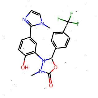 CN1C(=O)OC(c2ccc(C(F)(F)F)cc2)N1c1cc(-c2nccn2C)ccc1O